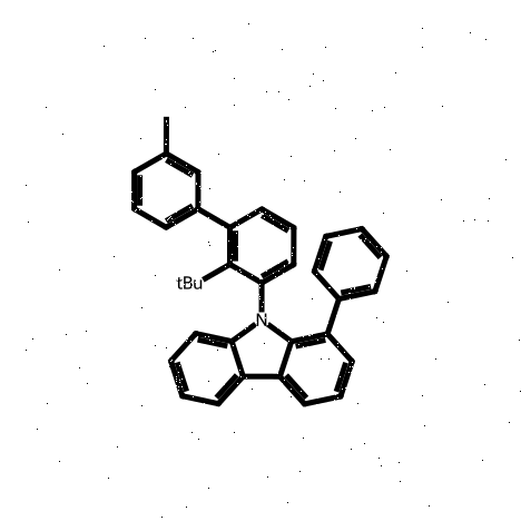 Cc1cccc(-c2cccc(-n3c4ccccc4c4cccc(-c5ccccc5)c43)c2C(C)(C)C)c1